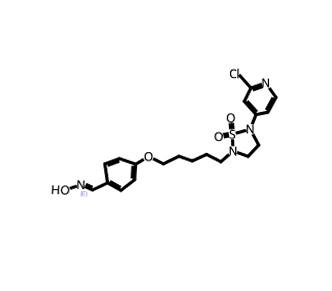 O=S1(=O)N(CCCCCOc2ccc(/C=N/O)cc2)CCN1c1ccnc(Cl)c1